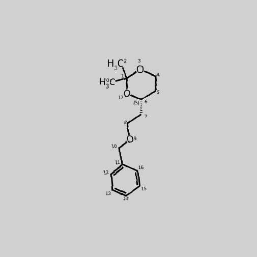 CC1(C)OCC[C@H](CCOCc2ccccc2)O1